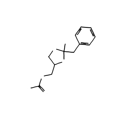 CCC(=O)OCC1COC(C)(Cc2ccccc2)O1